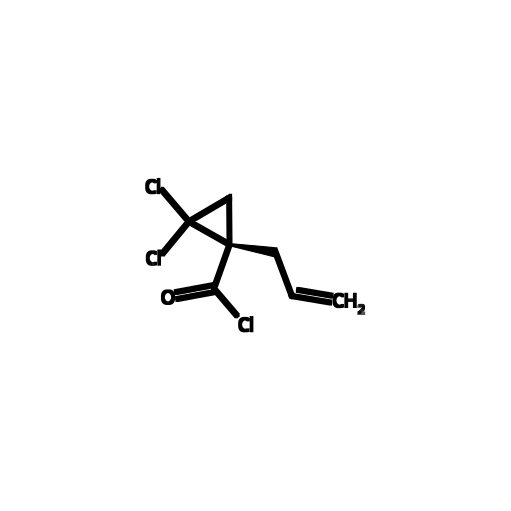 C=CC[C@]1(C(=O)Cl)CC1(Cl)Cl